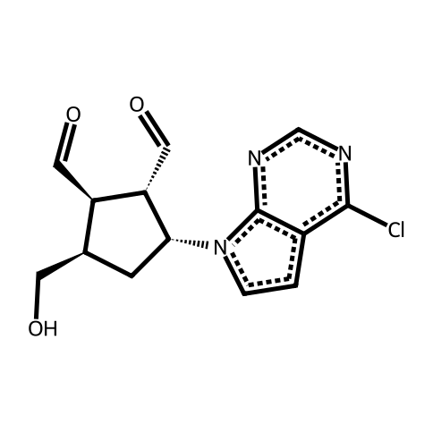 O=C[C@@H]1[C@H](CO)C[C@@H](n2ccc3c(Cl)ncnc32)[C@H]1C=O